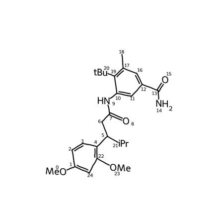 COc1ccc(C(CC(=O)Nc2cc(C(N)=O)cc(C)c2C(C)(C)C)C(C)C)c(OC)c1